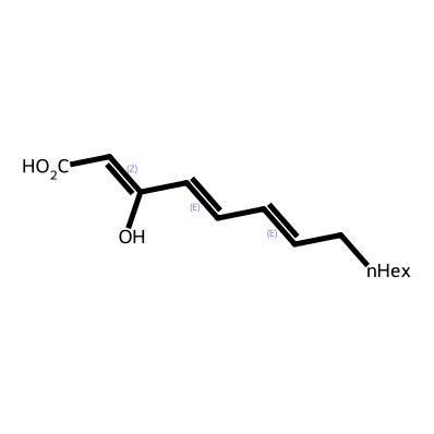 CCCCCCC/C=C/C=C/C(O)=C/C(=O)O